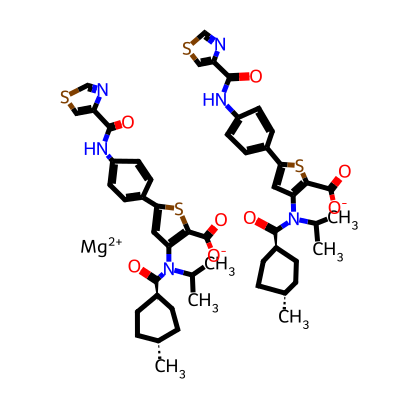 CC(C)N(c1cc(-c2ccc(NC(=O)c3cscn3)cc2)sc1C(=O)[O-])C(=O)[C@H]1CC[C@H](C)CC1.CC(C)N(c1cc(-c2ccc(NC(=O)c3cscn3)cc2)sc1C(=O)[O-])C(=O)[C@H]1CC[C@H](C)CC1.[Mg+2]